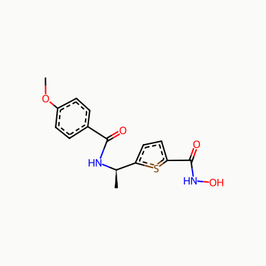 COc1ccc(C(=O)N[C@H](C)c2ccc(C(=O)NO)s2)cc1